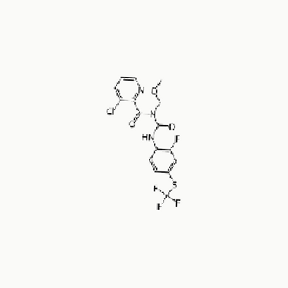 COCN(C(=O)Nc1ccc(SC(F)(F)F)cc1F)C(=O)c1ncccc1Cl